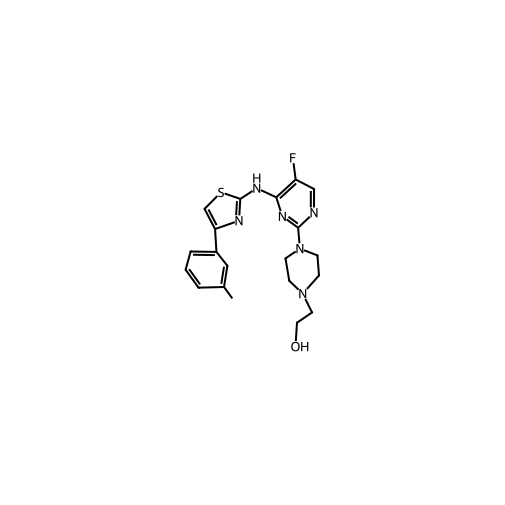 Cc1cccc(-c2csc(Nc3nc(N4CCN(CCO)CC4)ncc3F)n2)c1